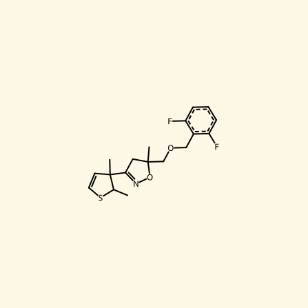 CC1SC=CC1(C)C1=NOC(C)(COCc2c(F)cccc2F)C1